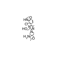 Cc1nc(N2CCC3(CC2)CO[C@@H](C)[C@H]3N)c(CO)nc1-c1ccc2c(c1Cl)NCCO2